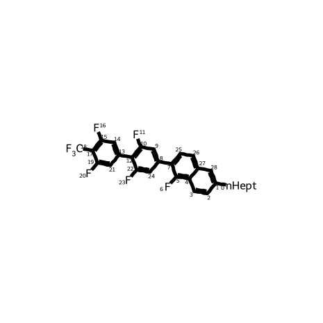 CCCCCCCc1ccc2c(F)c(-c3cc(F)c(-c4cc(F)c(C(F)(F)F)c(F)c4)c(F)c3)ccc2c1